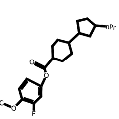 CCCC1CCC(C2CCC(C(=O)Oc3ccc(OC(F)(F)F)c(F)c3)CC2)C1